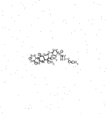 COCCCNC(=O)c1ccc(Cc2cc3c(=O)n([C@H]4CCOC[C@@H]4O)cnc3c(C)c2C)cc1